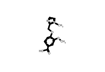 COc1cc(C(=O)O)ccc1OCc1nccn1C